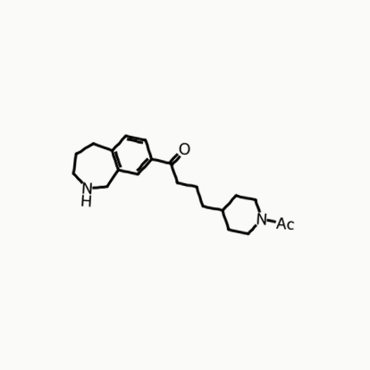 CC(=O)N1CCC(CCCC(=O)c2ccc3c(c2)CNCCC3)CC1